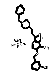 CNC.Cc1c(OCc2cccc(C#N)c2)ccc2c(CCC3CCN(Cc4ccccc4)CC3)noc12.Cl.Cl